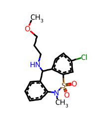 COCCCNC1c2ccccc2N(C)S(=O)(=O)c2cc(Cl)ccc21